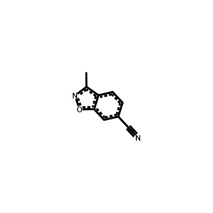 Cc1noc2cc(C#N)ccc12